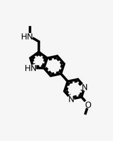 CNCc1c[nH]c2cc(-c3cnc(OC)nc3)ccc12